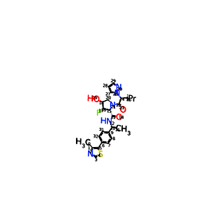 Cc1ncsc1-c1ccc([C@H](C)NC(=O)[C@@H]2[C@@H](F)[C@@H](O)CN2C(=O)[C@H](C(C)C)n2cccn2)cc1